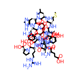 CSCC[C@H](NC(=O)[C@@H](NC(=O)[C@H](Cc1ccc(O)cc1)NC(=O)[C@H](Cc1ccc(O)cc1)NC(=O)[C@H](C)NC(=O)[C@@H](N)CCC(=O)O)[C@@H](C)O)C(=O)N[C@@H](CC(C)C)C(=O)N[C@@H](Cc1c[nH]cn1)C(=O)N[C@@H](CC(C)C)C(=O)N1CCC[C@H]1C(=O)N[C@H](C(=O)N[C@H](C(=O)N[C@@H](CC(N)=O)C(=O)N[C@@H](CCCNC(=N)N)C(=O)N1CCC[C@H]1C(=O)O)[C@@H](C)O)[C@@H](C)O